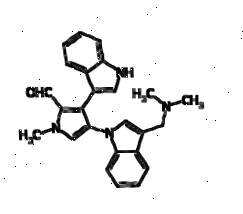 CN(C)Cc1cn(-c2cn(C)c(C=O)c2-c2c[nH]c3ccccc23)c2ccccc12